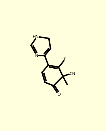 CC1(C#N)C(=O)C=CC(C2=CCNC=N2)=C1F